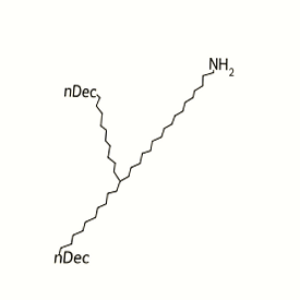 CCCCCCCCCCCCCCCCCCCCC(CCCCCCCCCCCCCCCCCN)CCCCCCCCCCCCCCCCCCCC